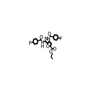 CCCOC(=O)c1cc2c(o1)c(NC(=O)c1ccc(F)cc1)nn2C(=O)c1ccc(F)cc1